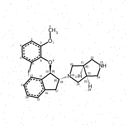 COc1cccc(F)c1O[C@@H]1c2ccccc2C[C@H]1N1C[C@H]2CNC[C@H]2C1